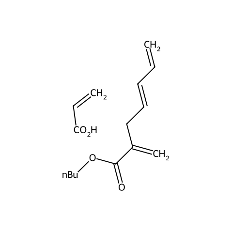 C=CC(=O)O.C=CC=CCC(=C)C(=O)OCCCC